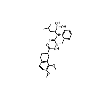 COc1ccc2c(c1OC)CC(C(=O)N[C@@H](Cc1ccccc1)C(=O)NC(CC(C)C)B(O)O)CC2